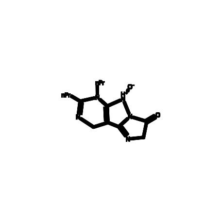 CCCC1=NCC2=C(N1CCC)[NH+]([O-])N1C(=O)CN=C21